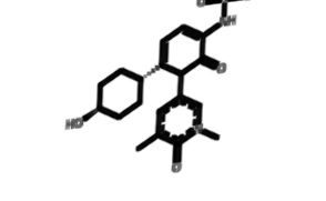 Cc1cc(C2C(=O)C(NS(C)(=O)=O)=CC=C2[C@H]2CC[C@H](O)CC2)cn(C)c1=O